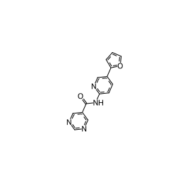 O=C(Nc1ccc(-c2ccco2)cn1)c1cncnc1